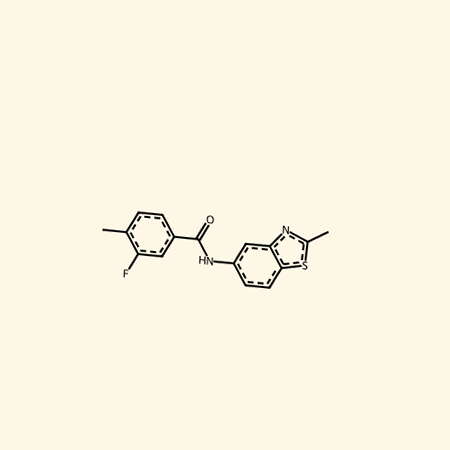 Cc1nc2cc(NC(=O)c3ccc(C)c(F)c3)ccc2s1